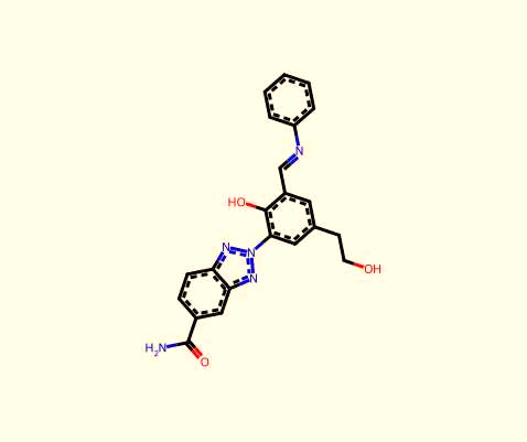 NC(=O)c1ccc2nn(-c3cc(CCO)cc(C=Nc4ccccc4)c3O)nc2c1